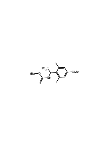 COc1cc(F)c(C(NC(=O)OC(C)(C)C)C(=O)O)c(Cl)c1